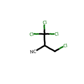 N#CC(CCl)C(Cl)(Cl)Cl